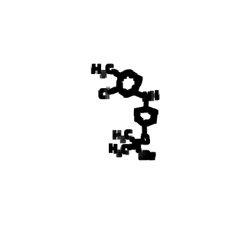 Cc1ccc(Nc2ccc(O[Si](C)(C)C(C)(C)C)cc2)cc1Cl